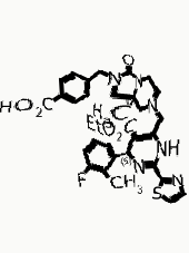 CCOC(=O)C1=C(CN2CCN3C(=O)N(Cc4ccc(C(=O)O)cc4)C[C@]3(C)C2)NC(c2nccs2)=N[C@H]1c1cccc(F)c1C